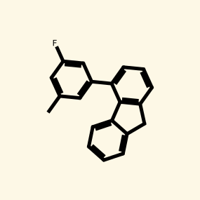 Cc1cc(F)cc(-c2cccc3c2-c2ccccc2C3)c1